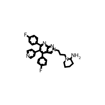 NC1CCCCN1CCCn1cc2c(-c3ccc(F)cc3)c(-c3ccncc3)c(-c3ccc(F)cc3)nc2n1